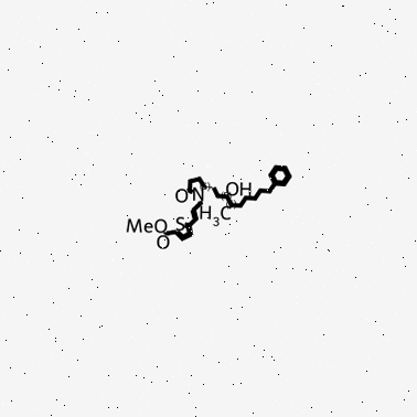 COC(=O)c1ccc(C=CCN2C(=O)CC[C@@H]2CC[C@@H](O)[C@@H](C)CCCCCc2ccccc2)s1